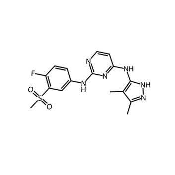 Cc1n[nH]c(Nc2ccnc(Nc3ccc(F)c(S(C)(=O)=O)c3)n2)c1C